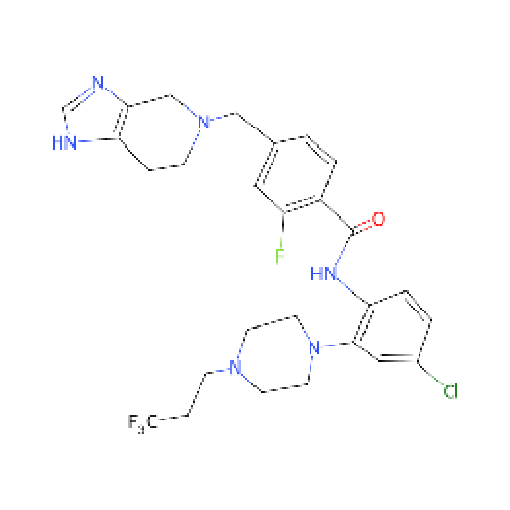 O=C(Nc1ccc(Cl)cc1N1CCN(CCC(F)(F)F)CC1)c1ccc(CN2CCc3[nH]cnc3C2)cc1F